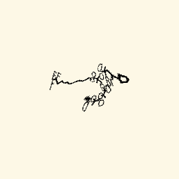 CC(=O)OC(C)C(=O)OC(C)C(=O)OCC(C)(COC(=O)C(C)(C)CC(Br)c1ccccc1)C(=O)OCCCCCCCCC(F)(F)F